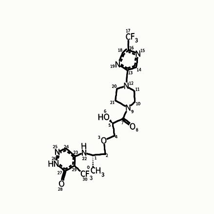 C[C@@H](COC[C@@H](O)C(=O)N1CCN(c2cnc(C(F)(F)F)cn2)CC1)Nc1cn[nH]c(=O)c1C(F)(F)F